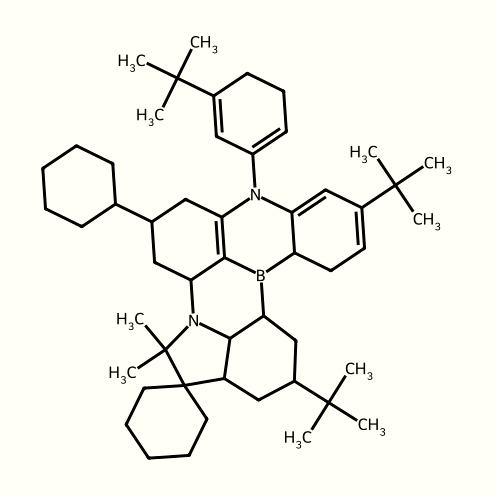 CC(C)(C)C1=CCC2B3C4=C(CC(C5CCCCC5)CC4N4C5C3CC(C(C)(C)C)CC5C3(CCCCC3)C4(C)C)N(C3=CCCC(C(C)(C)C)=C3)C2=C1